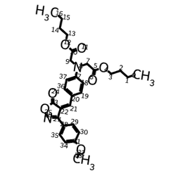 CCCCOC(=O)CN(CC(=O)OCCCC)c1ccc(C=C2C(=O)ON=C2c2ccc(OC)cc2)cc1